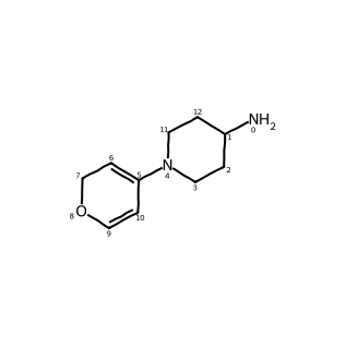 NC1CCN(C2=CCOC=C2)CC1